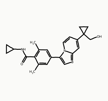 Cc1cc(-c2cbc3cc(C4(CO)CC4)ccn23)cc(C)c1C(=O)NC1CC1